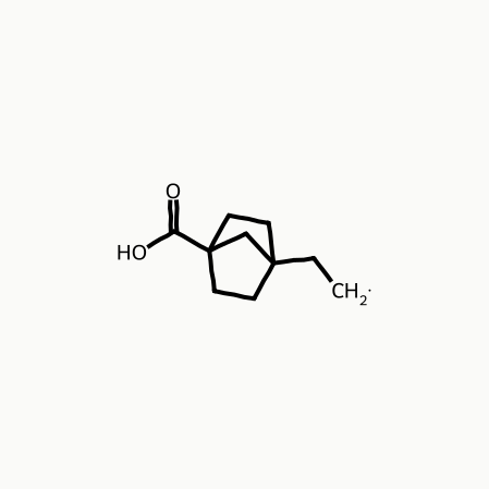 [CH2]CC12CCC(C(=O)O)(CC1)C2